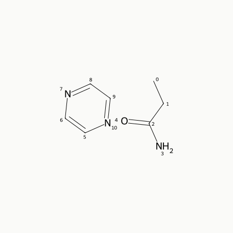 CCC(N)=O.c1cnccn1